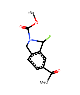 COC(=O)c1ccc2c(c1)C(F)N(C(=O)OC(C)(C)C)C2